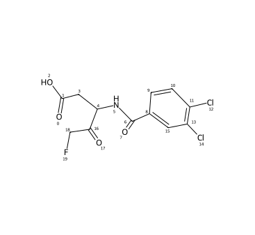 O=C(O)CC(NC(=O)c1ccc(Cl)c(Cl)c1)C(=O)CF